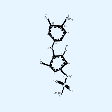 CCCS(=O)(=O)Nc1cc(Cl)c(Oc2ccc(OC)c(C(C)C)c2)c(Cl)c1